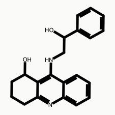 OC(CNc1c2c(nc3ccccc13)CCCC2O)c1ccccc1